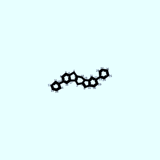 C1=C2CC3=C(Cc4ccc(-c5ccccc5)cc43)CC2c2cc(-c3ccccc3)ccc21